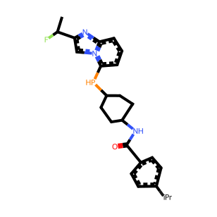 CC(C)c1ccc(C(=O)NC2CCC(Pc3cccc4nc(C(C)F)cn34)CC2)cc1